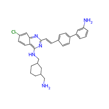 NCC1CCCC(CNc2nc(C=Cc3ccc(-c4cccc(N)c4)cc3)nc3cc(Cl)ccc23)C1